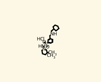 CC1(C)CCCN(NS(=O)(=O)c2cccc(CNCC3CCCCC3)c2)C1.Cl